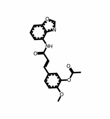 COc1ccc(C=CC(=O)Nc2cccc3ocnc23)cc1OC(C)=O